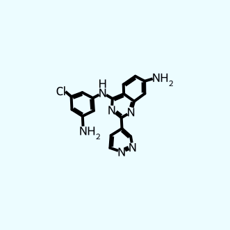 Nc1cc(Cl)cc(Nc2nc(-c3ccnnc3)nc3cc(N)ccc23)c1